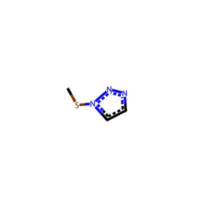 CSn1ccnn1